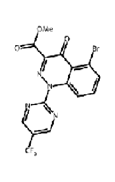 COC(=O)c1nn(-c2ncc(C(F)(F)F)cn2)c2cccc(Br)c2c1=O